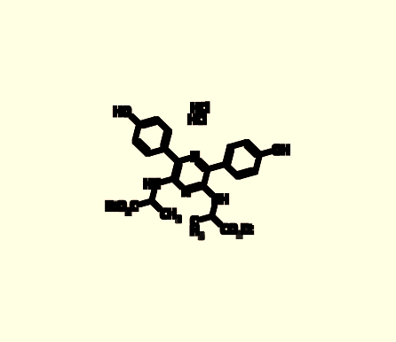 CCOC(=O)C(C)Nc1nc(NC(C)C(=O)OCC)c(-c2ccc(O)cc2)nc1-c1ccc(O)cc1.Cl.Cl